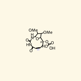 COC1C2NC(=O)NC(=O)/C=C\C[C@@H](OP(=O)(O)O)C(O2)C1OC